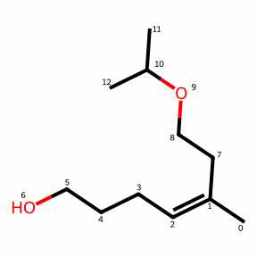 CC(=CCCCO)CCOC(C)C